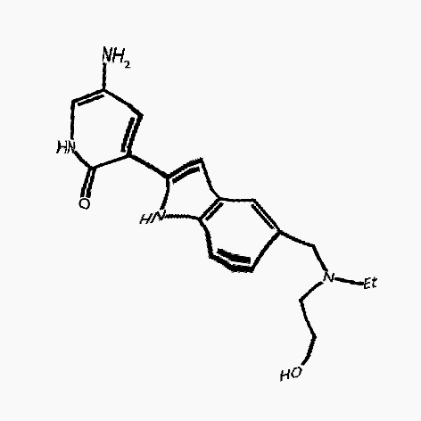 CCN(CCO)Cc1ccc2[nH]c(-c3cc(N)c[nH]c3=O)cc2c1